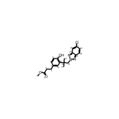 COC(=O)CCc1ccc(O)c(C(C)(C)Cn2nc3ccc(Cl)cc3n2)c1